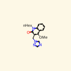 CCCCCCn1c(=O)c(Cn2cncn2)c(OC)c2ccccc21